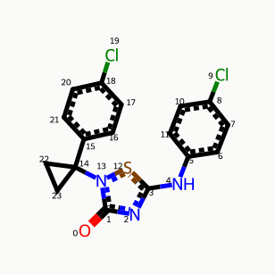 O=c1nc(Nc2ccc(Cl)cc2)sn1C1(c2ccc(Cl)cc2)CC1